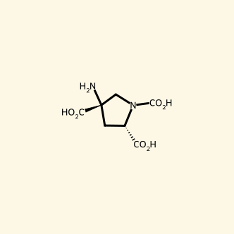 N[C@@]1(C(=O)O)C[C@@H](C(=O)O)N(C(=O)O)C1